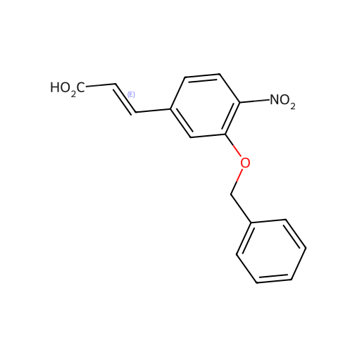 O=C(O)/C=C/c1ccc([N+](=O)[O-])c(OCc2ccccc2)c1